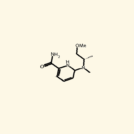 COC[C@H](C)N(C)C1C=C[C]=C(C(N)=O)N1